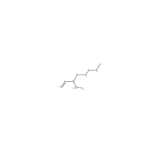 C=CC(CCCCC)OC